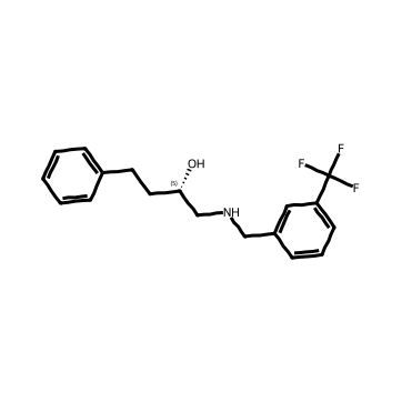 O[C@@H](CCc1ccccc1)CNCc1cccc(C(F)(F)F)c1